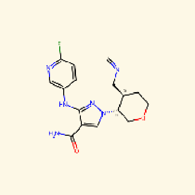 C=NC[C@H]1CCOC[C@@H]1n1cc(C(N)=O)c(Nc2ccc(F)nc2)n1